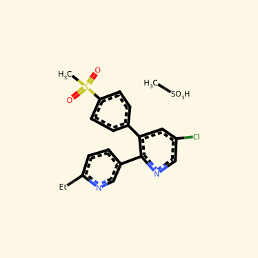 CCc1ccc(-c2ncc(Cl)cc2-c2ccc(S(C)(=O)=O)cc2)cn1.CS(=O)(=O)O